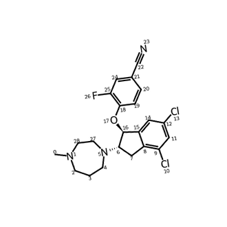 CN1CCCN([C@H]2Cc3c(Cl)cc(Cl)cc3[C@@H]2Oc2ccc(C#N)cc2F)CC1